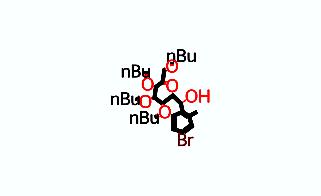 CCCCOCC1O[C@H]([C@H](O)c2ccc(Br)cc2C)C(OCCCC)[C@@H](OCCCC)[C@@H]1OCCCC